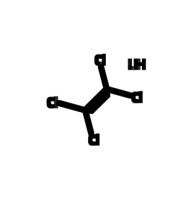 ClC(Cl)=C(Cl)Cl.[LiH]